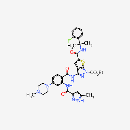 CCOC(=O)n1nc(NC(=O)c2ccc(N3CCN(C)CC3)cc2NC(=O)c2cc(C)[nH]n2)c2cc(C(=O)NC(C)(C)c3ccccc3F)sc21